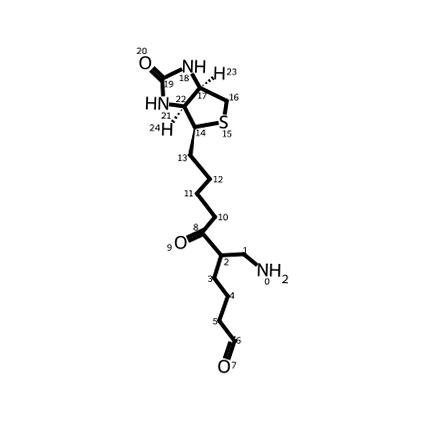 NCC(CCC[C]=O)C(=O)CCCC[C@@H]1SC[C@@H]2NC(=O)N[C@@H]21